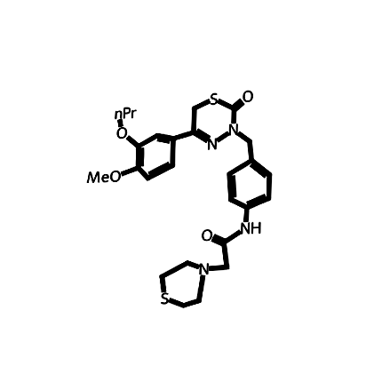 CCCOc1cc(C2=NN(Cc3ccc(NC(=O)CN4CCSCC4)cc3)C(=O)SC2)ccc1OC